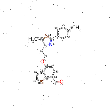 Cc1ccc(-c2nc(CCOc3ccc(C=O)c4sccc34)c(C)s2)cc1